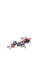 C[C@@H](c1ccc(-c2cncc(S(C)(=O)=O)c2)cc1)N1CC[C@](CC(C)(C)O)(c2ccccc2)OC1=O